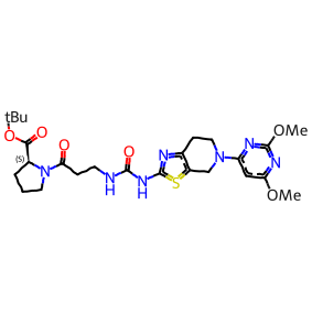 COc1cc(N2CCc3nc(NC(=O)NCCC(=O)N4CCC[C@H]4C(=O)OC(C)(C)C)sc3C2)nc(OC)n1